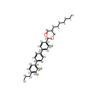 CCCCCCCC1COC(c2ccc(-c3ccc(-c4ccc(CCC)c(F)c4F)cc3)cc2F)OC1